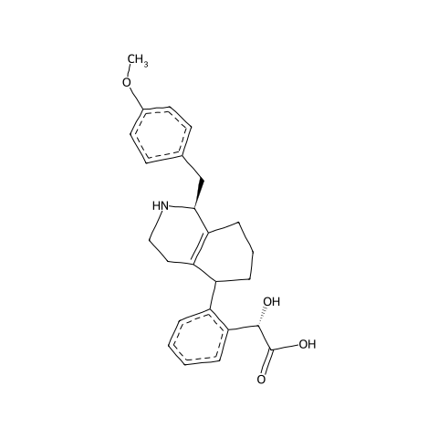 COc1ccc(C[C@@H]2NCCC3=C2CCCC3c2ccccc2[C@H](O)C(=O)O)cc1